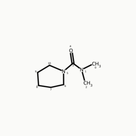 CN(C)C(=O)N1CC[CH]CC1